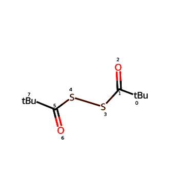 CC(C)(C)C(=O)SSC(=O)C(C)(C)C